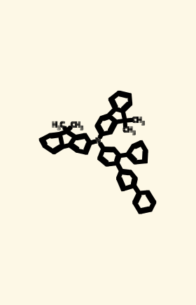 CC1(C)c2ccccc2-c2ccc(N(c3ccc(-c4ccc(-c5ccccc5)cc4)c(-c4ccccc4)c3)c3ccc4c(c3)C(C)(C)c3ccccc3-4)cc21